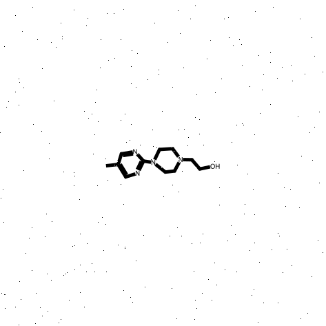 Cc1cnc(N2CCN(CCO)CC2)nc1